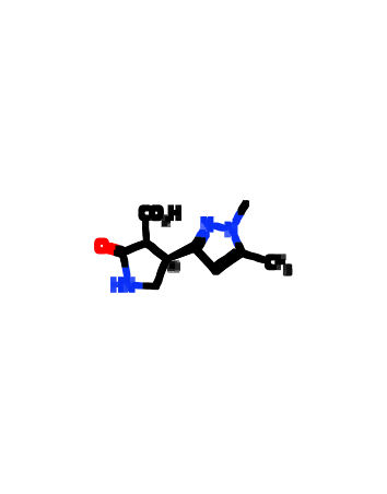 Cn1nc([C@H]2CNC(=O)C2C(=O)O)cc1C(F)(F)F